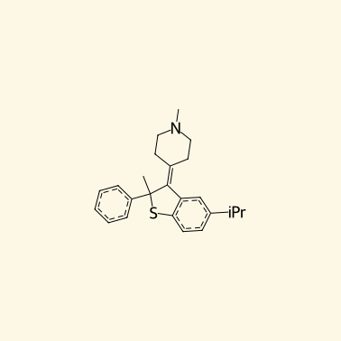 CC(C)c1ccc2c(c1)C(=C1CCN(C)CC1)C(C)(c1ccccc1)S2